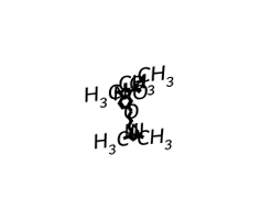 CCOC(=O)c1c(C)n(C)c2ccc(OCCCn3nc(C)cc3C)cc12